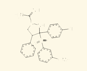 COc1cccc(S(=O)(=O)C2(c3ccc(Cl)cc3)NN(C(=N)N)CC2c2ccccc2)c1